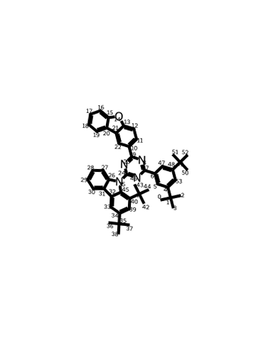 CC(C)(C)c1cc(-c2nc(-c3ccc4oc5ccccc5c4c3)nc(-n3c4ccccc4c4cc(C(C)(C)C)cc(C(C)(C)C)c43)n2)cc(C(C)(C)C)c1